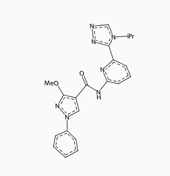 COc1nn(-c2ccccc2)cc1C(=O)Nc1cccc(-c2nncn2C(C)C)n1